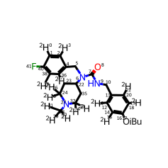 [2H]c1c([2H])c(CN(C(=O)NCc2c([2H])c([2H])c(OCC(C)C)c([2H])c2[2H])C2CC([2H])([2H])N(C([2H])([2H])[2H])C([2H])([2H])C2)c([2H])c([2H])c1F